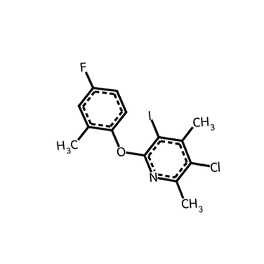 Cc1cc(F)ccc1Oc1nc(C)c(Cl)c(C)c1I